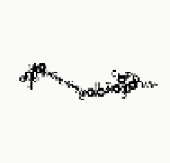 COc1cc2c(cc1OC(C)C)[C@H](c1ccc(Cl)cc1)N(c1ccc(N(C)CC3CCC(N4CCN(C(=O)COCCOCCOCCOCCNc5cccc6c5CN(C5CCC(=O)NC5=O)C6=O)CC4)CC3)cc1)C(=O)C2